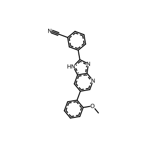 COc1ccccc1-c1cnc2nc(-c3cccc(C#N)c3)[nH]c2c1